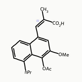 CCCc1cccc2c(/C=C(/C)C(=O)O)cc(OC)c(OC(C)=O)c12